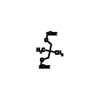 CCCCCCCCCCOCC(C)(C)COCCCCCCCCCC